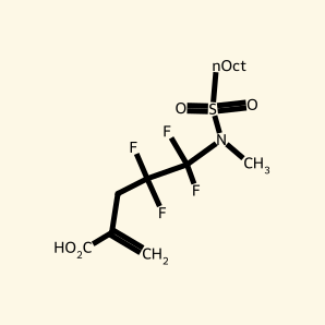 C=C(CC(F)(F)C(F)(F)N(C)S(=O)(=O)CCCCCCCC)C(=O)O